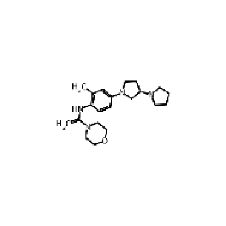 C=C(Nc1ccc(N2CC[C@@H](N3CCCC3)C2)cc1C)N1CCOCC1